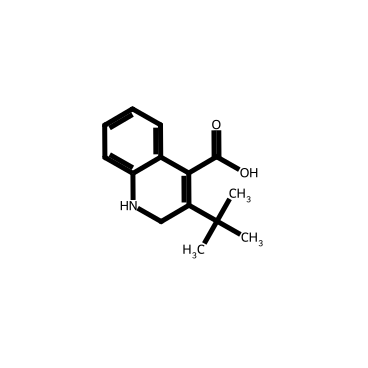 CC(C)(C)C1=C(C(=O)O)c2ccccc2NC1